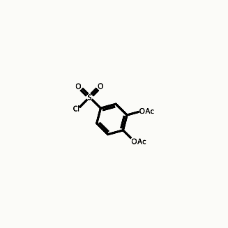 CC(=O)Oc1ccc(S(=O)(=O)Cl)cc1OC(C)=O